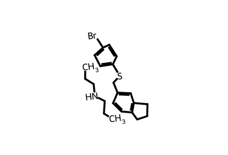 Brc1ccc(SCc2ccc3c(c2)CCC3)cc1.CCCNCCC